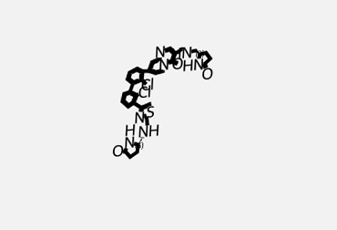 O=C1CC[C@H](CNCc2cnc3cc(-c4cccc(-c5cccc(-c6csc(CNC[C@@H]7CCC(=O)N7)n6)c5Cl)c4Cl)ccn3c2=O)N1